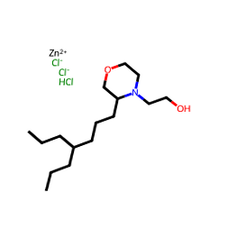 CCCC(CCC)CCCC1COCCN1CCO.Cl.[Cl-].[Cl-].[Zn+2]